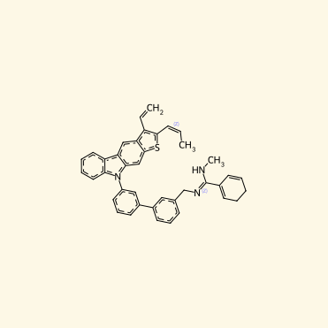 C=Cc1c(/C=C\C)sc2cc3c(cc12)c1ccccc1n3-c1cccc(-c2cccc(C/N=C(\NC)C3=CCCC=C3)c2)c1